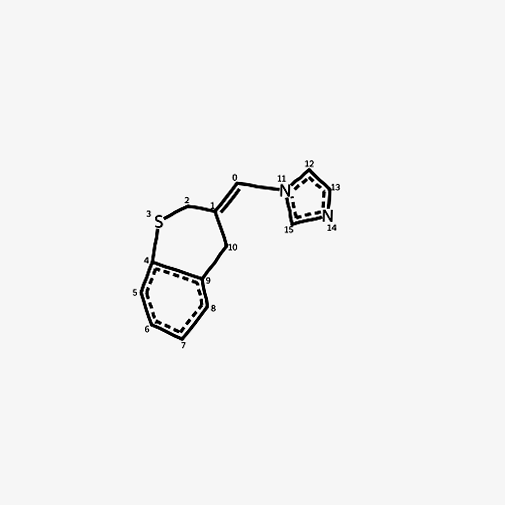 C(=C1CSc2ccccc2C1)n1ccnc1